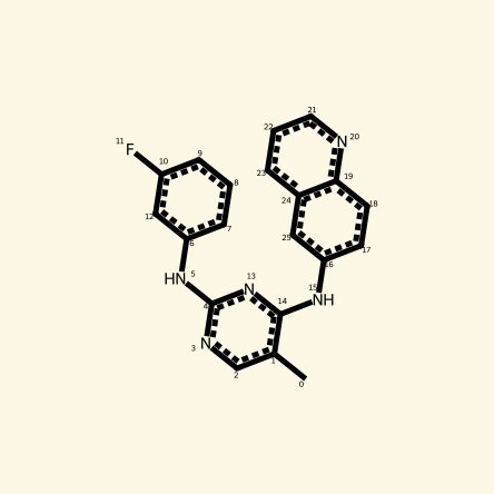 Cc1cnc(Nc2cccc(F)c2)nc1Nc1ccc2ncccc2c1